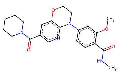 CNC(=O)c1ccc(N2CCOc3cc(C(=O)N4CCCCC4)cnc32)cc1OC